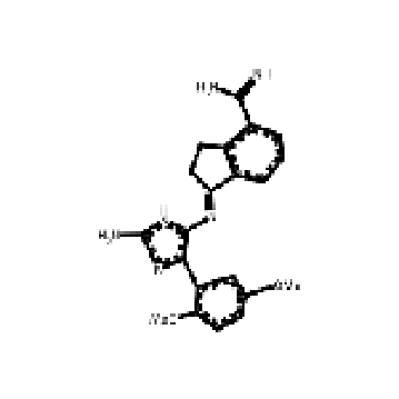 COc1ccc(OC)c(-c2nc(N)[nH]c2N=C2CCc3c(C(=N)N)cccc32)c1